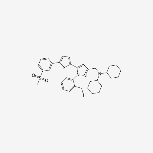 CS(=O)(=O)c1cccc(-c2ccc(-c3cc(CN(C4CCCCC4)C4CCCCC4)nn3-c3ccccc3CI)s2)c1